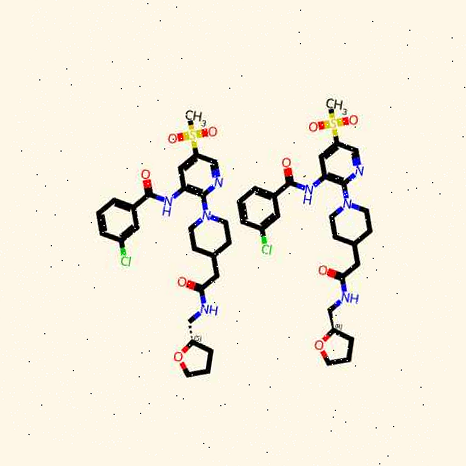 CS(=O)(=O)c1cnc(N2CCC(CC(=O)NC[C@@H]3CCCO3)CC2)c(NC(=O)c2cccc(Cl)c2)c1.CS(=O)(=O)c1cnc(N2CCC(CC(=O)NC[C@H]3CCCO3)CC2)c(NC(=O)c2cccc(Cl)c2)c1